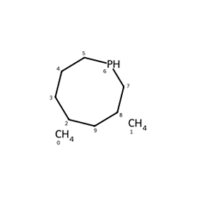 C.C.C1CCCPCCC1